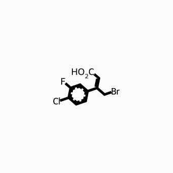 O=C(O)/C=C(/CBr)c1ccc(Cl)c(F)c1